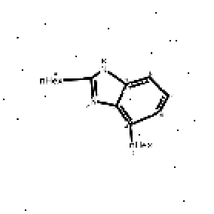 CCCCCCC1=Nc2c(CCCCCC)cccc2[N]1